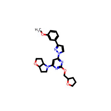 COc1cccc(-c2ccn(-c3cc(N4CCC5OCCC54)nc(OCC4CCCO4)n3)n2)c1